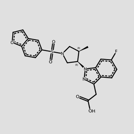 C[C@@H]1CN(S(=O)(=O)c2ccc3occc3c2)C[C@@H]1n1nc(CC(=O)O)c2ccc(F)cc21